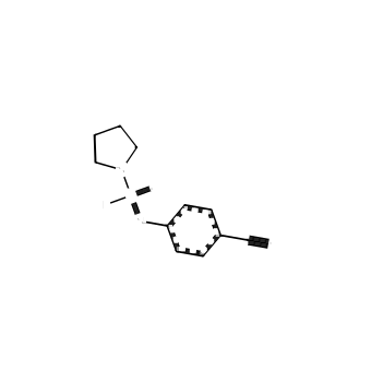 C#Cc1ccc(N=S(=O)(F)N2CCCC2)cc1